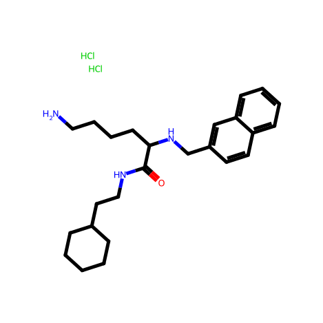 Cl.Cl.NCCCCC(NCc1ccc2ccccc2c1)C(=O)NCCC1CCCCC1